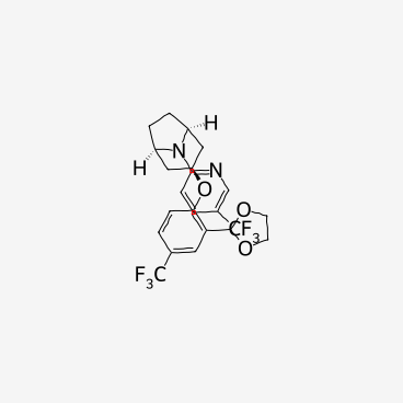 FC(F)(F)c1ccc(N2[C@@H]3CC[C@H]2C[C@@H](Oc2ccc(C(F)(F)F)cc2C2OCCO2)C3)nc1